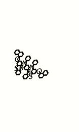 c1ccc(N2c3cc4c(cc3B3c5ccccc5Sc5cc(Oc6cccc7ccccc67)cc2c53)B2c3ccccc3Sc3cc(Oc5cccc6ccccc56)cc(c32)N4c2ccccc2)cc1